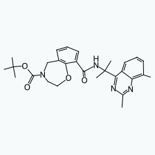 Cc1nc(C(C)(C)NC(=O)c2cccc3c2OCCN(C(=O)OC(C)(C)C)C3)c2cccc(C)c2n1